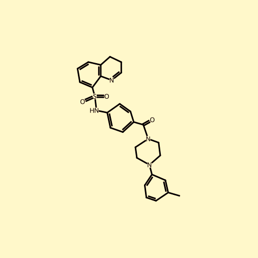 Cc1cccc(N2CCN(C(=O)c3ccc(NS(=O)(=O)c4cccc5c4N=CCC5)cc3)CC2)c1